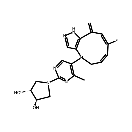 C=C1/C=C(F)\C=C/CN(c2cnc(N3C[C@@H](O)[C@H](O)C3)nc2C)c2cn[nH]c21